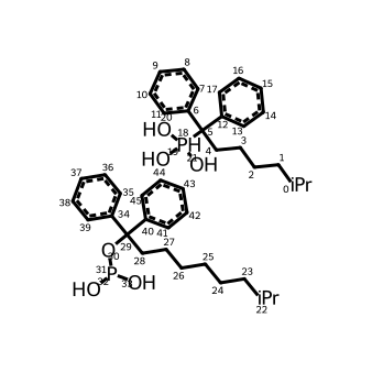 CC(C)CCCCC(c1ccccc1)(c1ccccc1)[PH](O)(O)O.CC(C)CCCCCCC(OP(O)O)(c1ccccc1)c1ccccc1